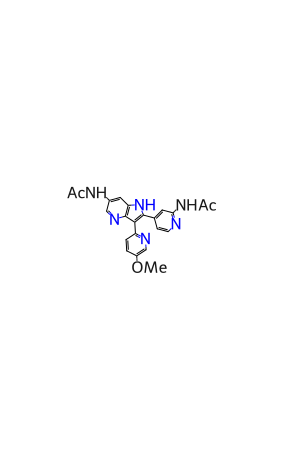 COc1ccc(-c2c(-c3ccnc(NC(C)=O)c3)[nH]c3cc(NC(C)=O)cnc23)nc1